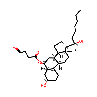 CCCCCC[C@](C)(O)[C@H]1CC[C@H]2[C@@H]3C[C@H](OC(=O)CCC=O)[C@H]4C[C@@H](O)CC[C@]4(C)[C@H]3CC[C@@]21C